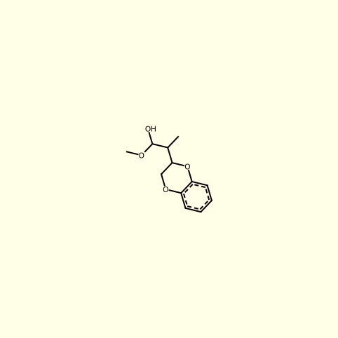 COC(O)C(C)C1COc2ccccc2O1